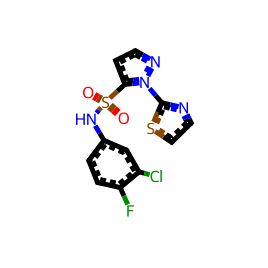 O=S(=O)(Nc1ccc(F)c(Cl)c1)c1ccnn1-c1nccs1